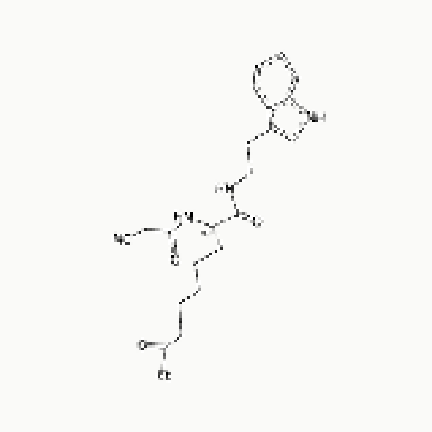 CCC(=O)CCCCC[C@H](NC(=O)CC#N)C(=O)NCCc1c[nH]c2ccccc12